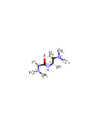 CC(C)[C@H](NC(=O)[C@H](C(C)C)N(C)C)C(C)N(C)C